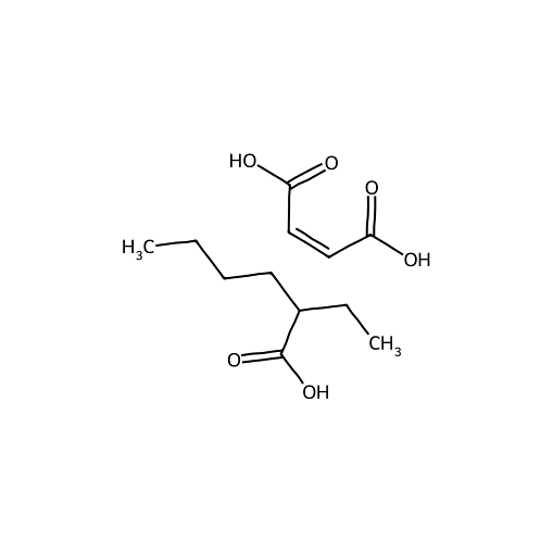 CCCCC(CC)C(=O)O.O=C(O)/C=C\C(=O)O